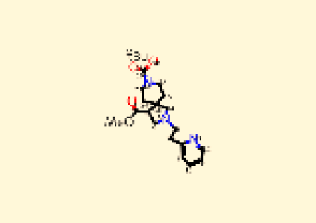 COC(=O)C1CN(CCc2ccccn2)CC12CCN(C(=O)OC(C)(C)C)CC2